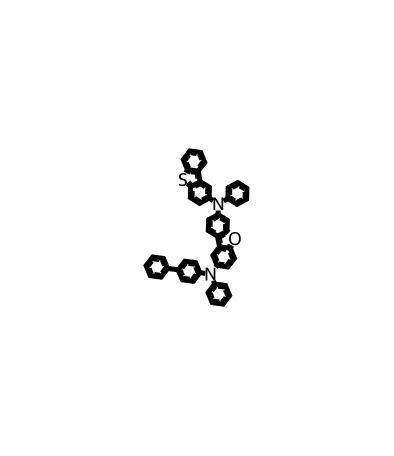 c1ccc(-c2ccc(N(c3ccccc3)c3ccc4oc5cc(N(c6ccccc6)c6ccc7sc8ccccc8c7c6)ccc5c4c3)cc2)cc1